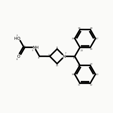 O=C(O)NCC1CN(C(c2ccccc2)c2ccccc2)C1